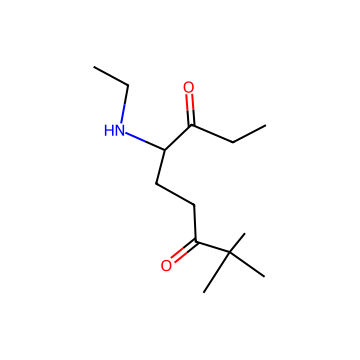 CCNC(CCC(=O)C(C)(C)C)C(=O)CC